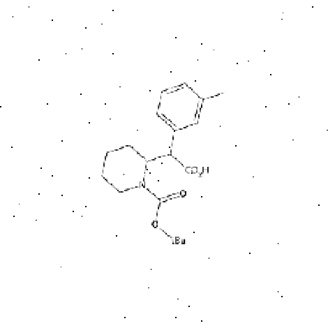 Cc1cccc(C(C(=O)O)C2CCCCN2C(=O)OC(C)(C)C)c1